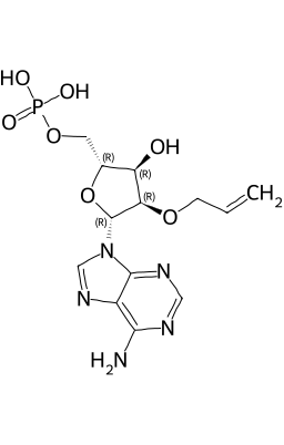 C=CCO[C@@H]1[C@H](O)[C@@H](COP(=O)(O)O)O[C@H]1n1cnc2c(N)ncnc21